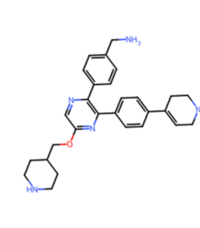 NCc1ccc(-c2ncc(OCC3CCNCC3)nc2-c2ccc(C3=CCNCC3)cc2)cc1